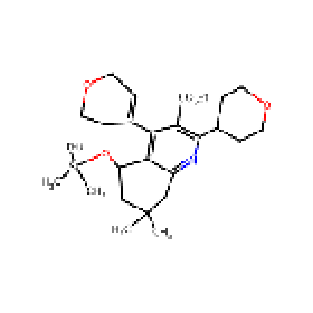 CCOC(=O)c1c(C2CCOCC2)nc2c(c1C1=CCOCC1)C(O[Si](C)(C)C(C)(C)C)CC(C)(C)C2